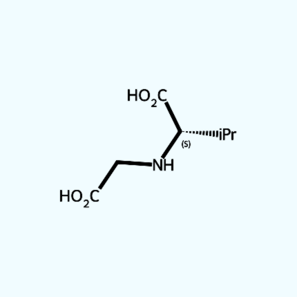 CC(C)[C@H](NCC(=O)O)C(=O)O